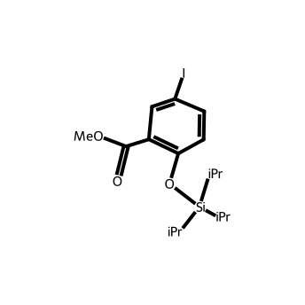 COC(=O)c1cc(I)ccc1O[Si](C(C)C)(C(C)C)C(C)C